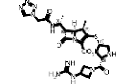 C[C@@H](NC(=O)Cn1cnnn1)[C@H]1C(=O)N2C(C(=O)O)=C(S[C@@H]3CN[C@H](C(=O)N4CC(NC(=N)N)C4)C3)[C@H](C)[C@H]12